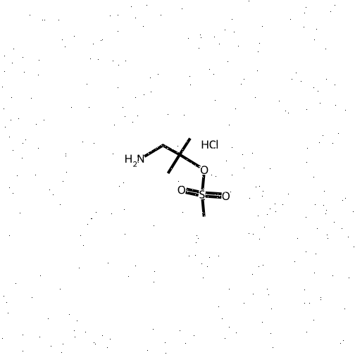 CC(C)(CN)OS(C)(=O)=O.Cl